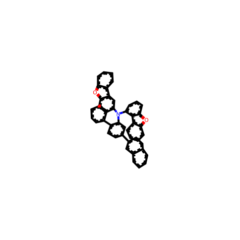 c1ccc(-c2ccc(-c3ccc4ccccc4c3)cc2N(c2ccc3oc4ccccc4c3c2)c2cccc3oc4ccccc4c23)cc1